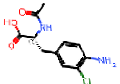 CC(=O)N[C@H](Cc1ccc(N)c(Cl)c1)C(=O)O